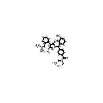 CCN(CC)C(=O)c1ccc(C(c2cccc(O)c2)n2nc(C)c(-c3ccccc3CN(C)C)c2C)cc1